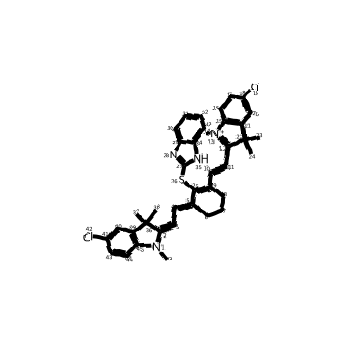 CN1/C(=C/C=C2\CCCC(/C=C/C3=[N+](C)c4ccc(Cl)cc4C3(C)C)=C2Sc2nc3ccccc3[nH]2)C(C)(C)c2cc(Cl)ccc21